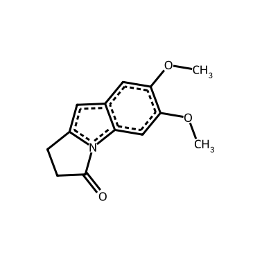 COc1cc2cc3n(c2cc1OC)C(=O)CC3